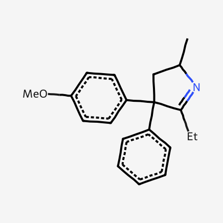 CCC1=NC(C)CC1(c1ccccc1)c1ccc(OC)cc1